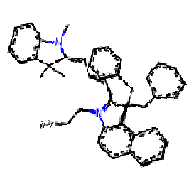 CC(C)CC[N+]1=C(/C=C/C=C2/N(C)c3ccccc3C2(C)C)C(Cc2ccccc2)(Cc2ccccc2)c2c1ccc1ccccc21